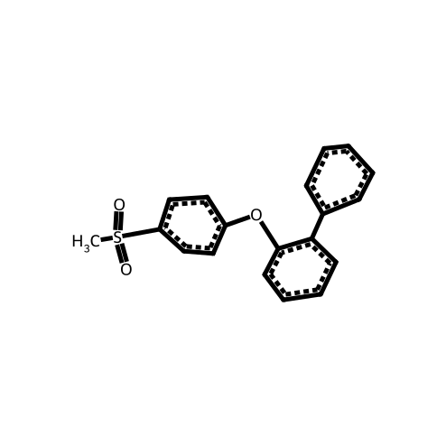 CS(=O)(=O)c1ccc(Oc2ccccc2-c2ccccc2)cc1